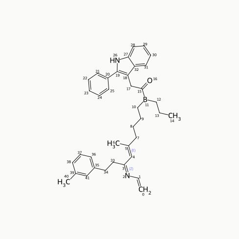 C=C/N=C(\C=C(/C)CCCCB(CCC)C(=O)Cc1c(-c2ccccc2)[nH]c2ccccc12)CCc1cccc(C)c1